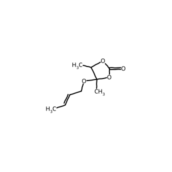 C/C=C/COC1(C)OC(=O)OC1C